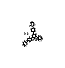 Oc1c(-c2ccc(-c3cccnc3)cc2)cc(-c2ccc(-c3cccnc3)cc2)cc1-c1ccccn1.[Na]